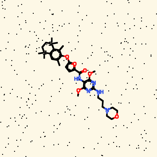 COc1nc(NCCCN2CCOCC2)nc(OC)c1NC(=O)c1ccc(Oc2c(C)cc3c(c2C)[Si](C)(C)CC[Si]3(C)C)o1